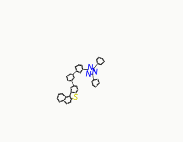 c1ccc(-c2nc(-c3ccccc3)nc(-c3cccc(-c4cccc(-c5ccc6sc7ccc8ccccc8c7c6c5)c4)c3)n2)cc1